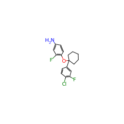 Nc1ccc(OC2(c3ccc(Cl)c(F)c3)CCCCC2)c(F)c1